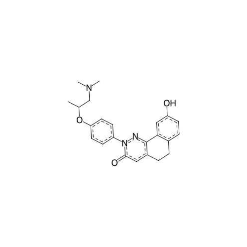 CC(CN(C)C)Oc1ccc(-n2nc3c(cc2=O)CCc2ccc(O)cc2-3)cc1